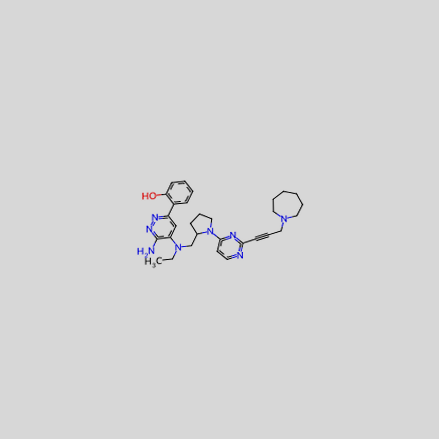 CCN(CC1CCCN1c1ccnc(C#CCN2CCCCCC2)n1)c1cc(-c2ccccc2O)nnc1N